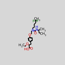 CCOC(Cc1ccc(OCCN(CCCCC(C)(F)F)C(=O)NC(C)CC)cc1)C(=O)O